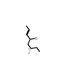 CC=CC(Cl)C[C@@H](C)CC